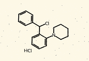 Cl.ClC(c1ccccc1)c1ccccc1N1CCCCC1